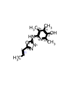 C/C=C/c1nnc(Nc2nc(C)c(O)c(C)c2C)o1